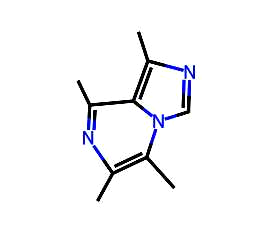 Cc1nc(C)c2c(C)ncn2c1C